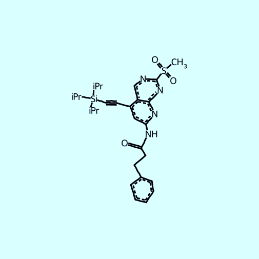 CC(C)[Si](C#Cc1cc(NC(=O)CCc2ccccc2)nc2nc(S(C)(=O)=O)ncc12)(C(C)C)C(C)C